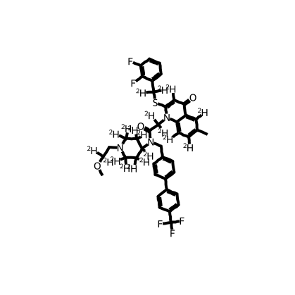 [2H]c1c(C)c([2H])c2c(=O)c([2H])c(SC([2H])([2H])c3cccc(F)c3F)n(C([2H])([2H])C(=O)N(Cc3ccc(-c4ccc(C(F)(F)F)cc4)cc3)C3([2H])C([2H])([2H])C([2H])([2H])N(CC([2H])([2H])OC)C([2H])([2H])C3([2H])[2H])c2c1[2H]